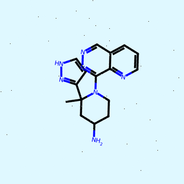 CC1(c2cc[nH]n2)CC(N)CCN1c1nncc2cccnc12